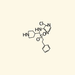 O=S(=O)(CCc1ccccc1)C(Nc1nccnc1Cl)C1CCNCC1